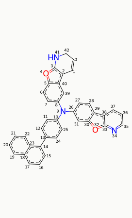 C1=Cc2c(oc3ccc(N(c4ccc(-c5cccc6ccccc56)cc4)c4ccc5c(c4)oc4ncccc45)cc23)NC1